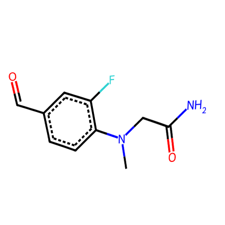 CN(CC(N)=O)c1ccc(C=O)cc1F